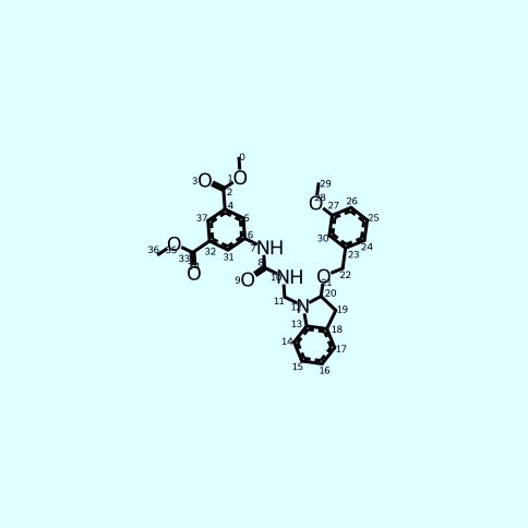 COC(=O)c1cc(NC(=O)NCN2c3ccccc3CC2OCc2cccc(OC)c2)cc(C(=O)OC)c1